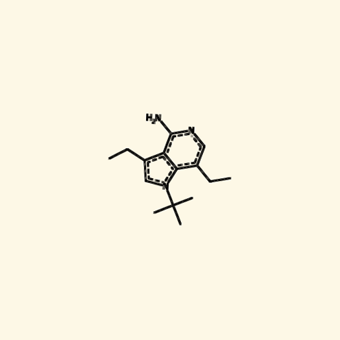 CCc1cn(C(C)(C)C)c2c(CC)cnc(N)c12